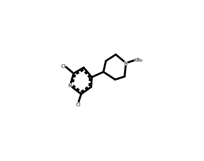 CC(C)(C)N1CCC(c2cc(Cl)nc(Cl)c2)CC1